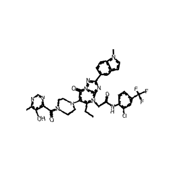 CCc1c(N2CCN(C(=O)c3ncnc(C)c3O)CC2)c(=O)n2nc(-c3ccc4c(ccn4C)c3)nc2n1CC(=O)Nc1ccc(C(F)(F)F)cc1Cl